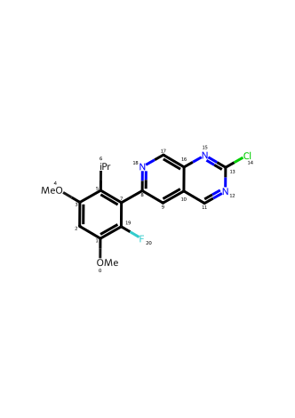 COc1cc(OC)c(C(C)C)c(-c2cc3cnc(Cl)nc3cn2)c1F